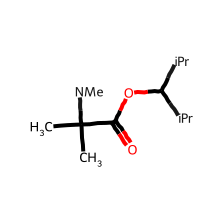 CNC(C)(C)C(=O)OC(C(C)C)C(C)C